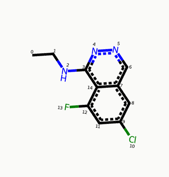 CCNc1nncc2cc(Cl)cc(F)c12